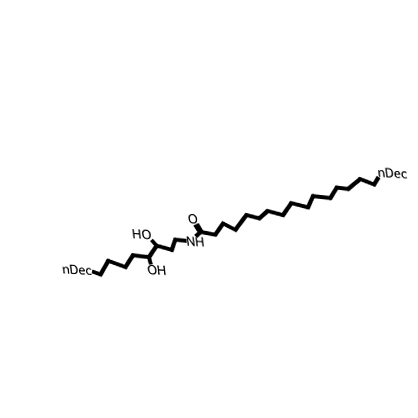 CCCCCCCCCCCCCCCCCCCCCCCCCC(=O)NCCC(O)C(O)CCCCCCCCCCCCCC